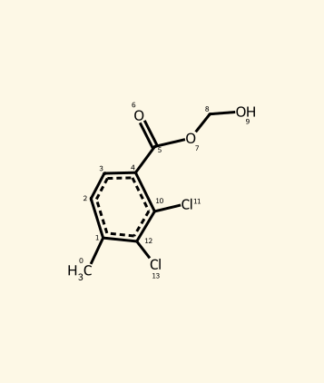 Cc1ccc(C(=O)OCO)c(Cl)c1Cl